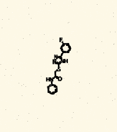 O=C(CSc1nnc(-c2cccc(F)c2)[nH]1)Nc1ccccc1